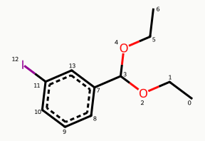 CCOC(OCC)c1cccc(I)c1